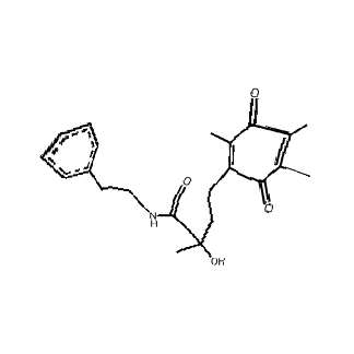 CC1=C(C)C(=O)C(CCC(C)(O)C(=O)NCCc2ccccc2)=C(C)C1=O